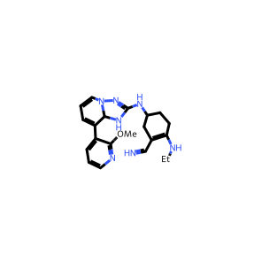 CCNC1=C(C=N)CC(NC2=NN3C=CC=C(c4cccnc4OC)C3N2)CC1